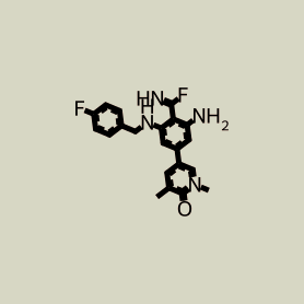 Cc1cc(-c2cc(N)c(C(=N)F)c(NCc3ccc(F)cc3)c2)cn(C)c1=O